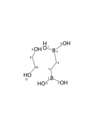 OB(O)CCB(O)O.OCCO